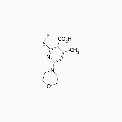 Cc1cc(N2CCOCC2)nc(SC(C)C)c1C(=O)O